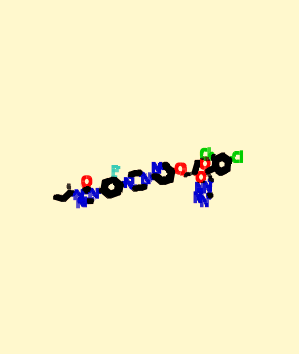 CC[C@H](C)n1ncn(-c2ccc(N3CCN(c4ccc(OC[C@@H]5CO[C@@](Cn6cnnn6)(c6ccc(Cl)cc6Cl)O5)cn4)CC3)c(F)c2)c1=O